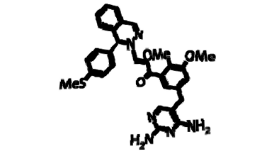 COc1cc(Cc2cnc(N)nc2N)cc(C(=O)/C=C/N2N=Cc3ccccc3[C@@H]2c2ccc(SC)cc2)c1OC